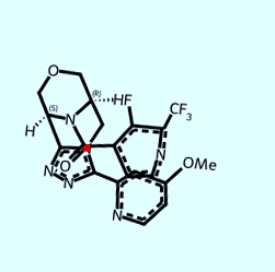 COc1ccnc(-c2nnc3n2C[C@@H]2COC[C@H]3N2C(=O)c2ccnc(C(F)(F)F)c2F)c1